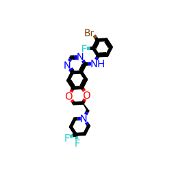 Fc1c(Br)cccc1Nc1ncnc2cc3c(cc12)O[C@@H](CN1CCC(F)(F)CC1)CO3